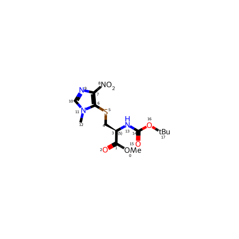 COC(=O)[C@@H](CSc1c([N+](=O)[O-])ncn1C)NC(=O)OC(C)(C)C